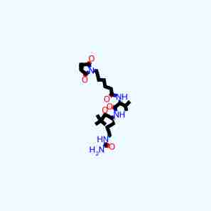 CC(C)[C@H](NC(=O)CCCCCN1C(=O)C=CC1=O)C(=O)N[C@@H](CCCNC(N)=O)C(=O)C(C)(C)C